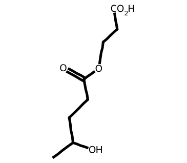 CC(O)CCC(=O)OCCC(=O)O